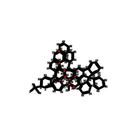 CC(C)(C)c1ccc(-c2cc(-c3ccccc3)c(N(c3ccc4c(c3)-c3ccccc3C4(c3ccccc3)c3ccccc3)c3ccc4ccccc4c3-c3ccccc3-c3cccc4c3-c3ccccc3C4(C)C)c(-c3ccccc3)c2)cc1